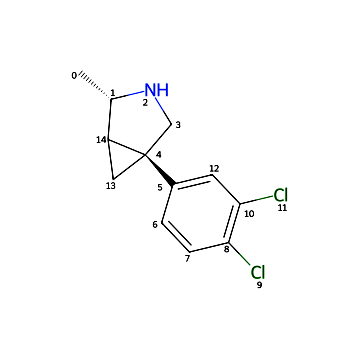 C[C@@H]1NC[C@]2(c3ccc(Cl)c(Cl)c3)CC12